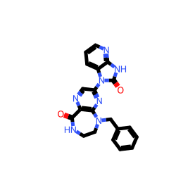 O=C1NCCN(Cc2ccccc2)c2nc(-n3c(=O)[nH]c4ncccc43)cnc21